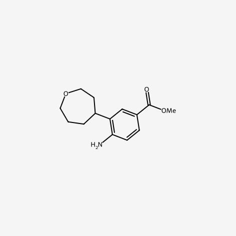 COC(=O)c1ccc(N)c(C2CCCOCC2)c1